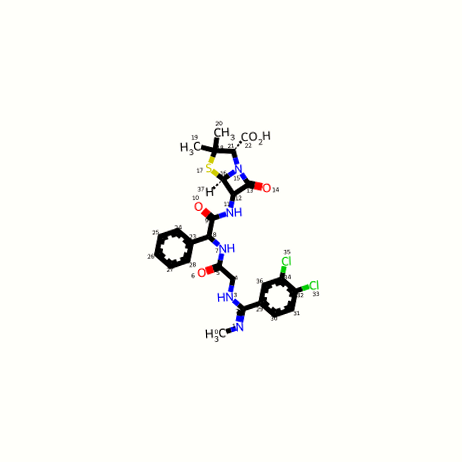 C/N=C(\NCC(=O)NC(C(=O)NC1C(=O)N2[C@@H]1SC(C)(C)[C@@H]2C(=O)O)c1ccccc1)c1ccc(Cl)c(Cl)c1